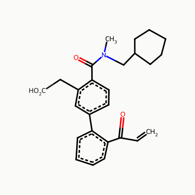 C=CC(=O)c1ccccc1-c1ccc(C(=O)N(C)CC2CCCCC2)c(CC(=O)O)c1